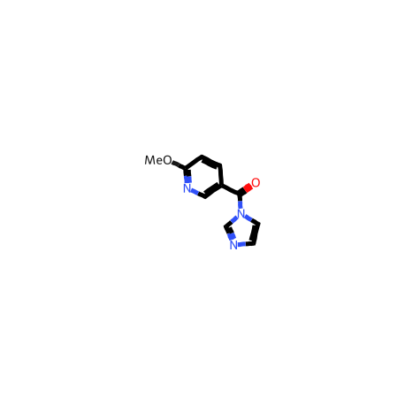 COc1ccc(C(=O)n2ccnc2)cn1